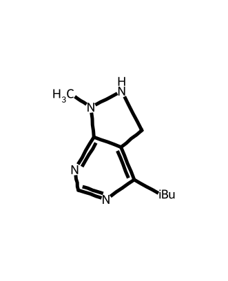 CCC(C)c1ncnc2c1CNN2C